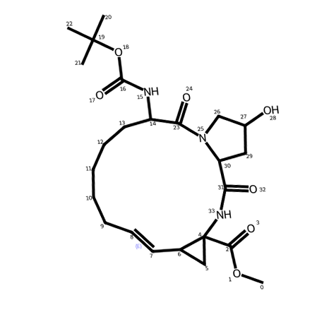 COC(=O)C12CC1/C=C/CCCCCC(NC(=O)OC(C)(C)C)C(=O)N1CC(O)CC1C(=O)N2